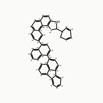 C1=CCC(C2Nc3ccc4ccc5ccc(-c6ccc(-c7ccc8c9c(cccc79)-c7ccccc7-8)c7ccccc67)cc5c4c3S2)C=C1